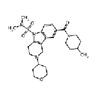 CC1CCN(C(=O)c2ccc3c(c2)c2c(n3S(=O)(=O)N(C)C)CCN(C3CCOCC3)C2)CC1